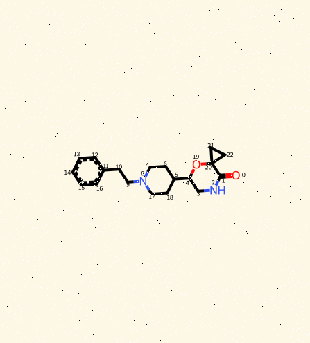 O=C1NCC(C2CCN(CCc3ccccc3)CC2)OC12CC2